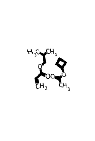 C=CC(=O)OCC(C)C.CC(=O)OC1=CCC1